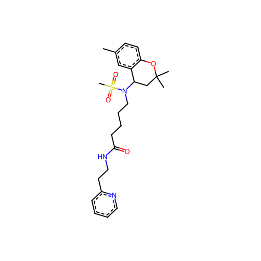 Cc1ccc2c(c1)C(N(CCCCC(=O)NCCc1ccccn1)S(C)(=O)=O)CC(C)(C)O2